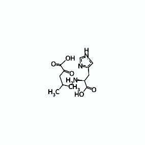 CC(C)CC(=O)C(=O)O.N[C@@H](Cc1c[nH]cn1)C(=O)O